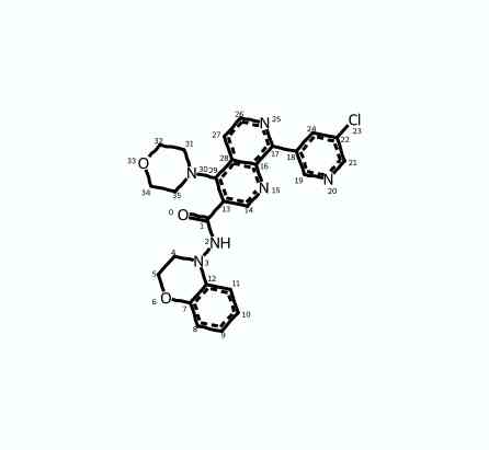 O=C(NN1CCOc2ccccc21)c1cnc2c(-c3cncc(Cl)c3)nccc2c1N1CCOCC1